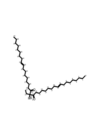 CCCCCCCCC=CCCCCCCCC(=O)C(N)(CC)C(=O)CCCCCCCC=CCCCCCCCC